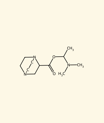 CC(OC(=O)C1CN2CCN1CC2)N(C)C